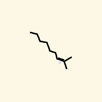 [CH2]/C(C)=C/CCCCCC